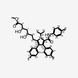 COC(=O)C[C@H](O)C[C@H](O)CCc1c(-c2ccc(F)cc2)c(-c2ccc(F)cc2)c(C(=O)Nc2ccc(F)cc2)n1C(C)C